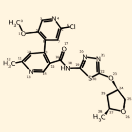 COc1cnc(Cl)cc1-c1cc(C)ncc1C(=O)Nc1nnc(O[C@H]2CO[C@@H](C)C2)s1